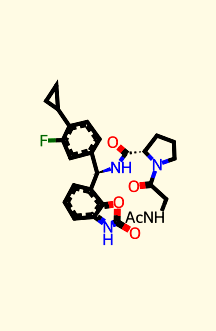 CC(=O)NCC(=O)N1CCC[C@H]1C(=O)N[C@H](c1ccc(C2CC2)c(F)c1)c1cccc2[nH]c(=O)oc12